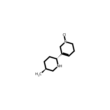 C[C@H]1CC[C@H](C2=CCCN(Cl)C2)NC1